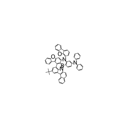 CC(C)(C)c1cc2c3c(c1)c1c4ccccc4ccc1n3B1c3ccc(N(c4ccccc4)c4ccccc4)cc3N(c3cccc4c3oc3ccccc34)c3cc4oc5ccccc5c4c-2c31